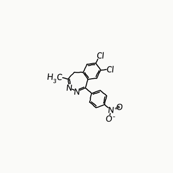 CC1=NN=C(c2ccc([N+](=O)[O-])cc2)c2cc(Cl)c(Cl)cc2C1